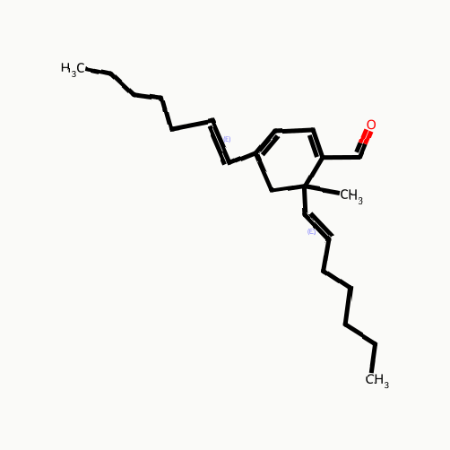 CCCCC/C=C/C1=CC=C(C=O)C(C)(/C=C/CCCCC)C1